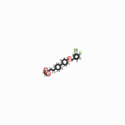 Fc1ccc(COC2CCC(C3CCC(CCC4OCCO4)CC3)CC2)cc1F